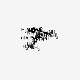 CCCCCCCCCCCC(=O)C(=O)[C@H](CCCNC(N)N)NC(=O)[C@@H](NN[C@@H](CCCNC(N)N)C(=O)NCc1ccc(C(=N)N)cc1)C(C)C